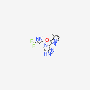 Cc1cccn2nc(C3c4nc[nH]c4CCN3C(=O)c3cc(C(F)F)nn3C)cc12